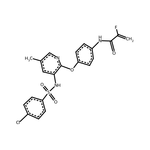 C=C(F)C(=O)Nc1ccc(Oc2ncc(C)cc2NS(=O)(=O)c2ccc(Cl)cc2)cc1